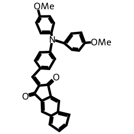 COc1ccc(N(c2ccc(C=C3C(=O)c4cc5ccccc5cc4C3=O)cc2)c2ccc(OC)cc2)cc1